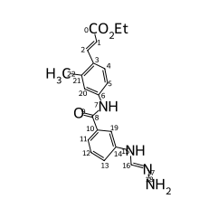 CCOC(=O)C=Cc1ccc(NC(=O)c2cccc(NC=NN)c2)cc1C